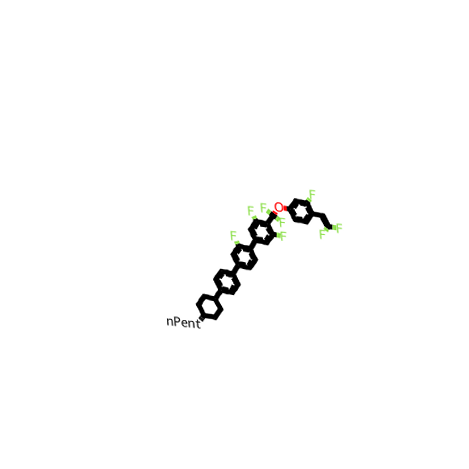 CCCCCC1CCC(c2ccc(-c3ccc(-c4cc(F)c(C(F)(F)Oc5ccc(C=C(F)F)c(F)c5)c(F)c4)c(F)c3)cc2)CC1